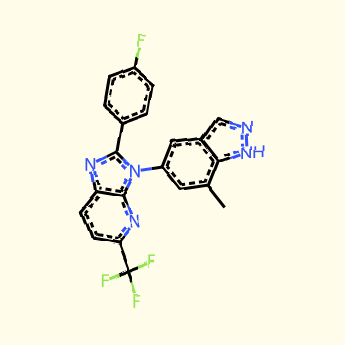 Cc1cc(-n2c(-c3ccc(F)cc3)nc3ccc(C(F)(F)F)nc32)cc2cn[nH]c12